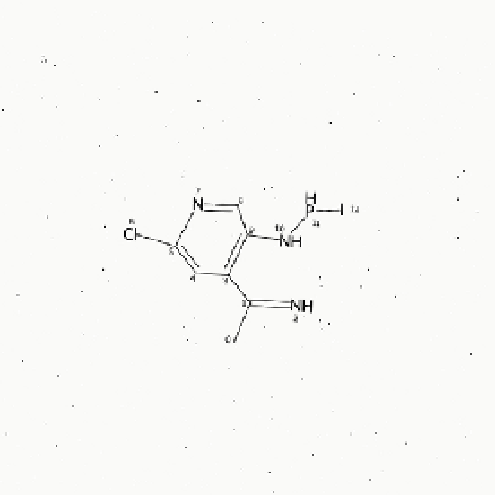 CC(=N)c1cc(Cl)ncc1NPI